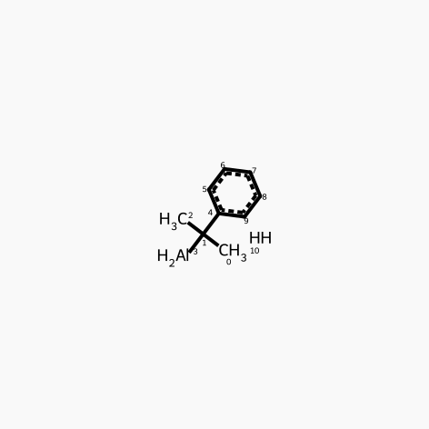 C[C](C)([AlH2])c1ccccc1.[HH]